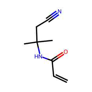 C=CC(=O)NC(C)(C)CC#N